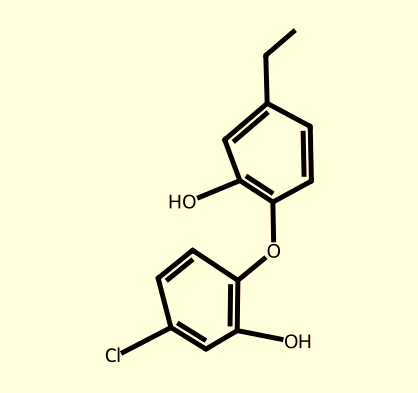 CCc1ccc(Oc2ccc(Cl)cc2O)c(O)c1